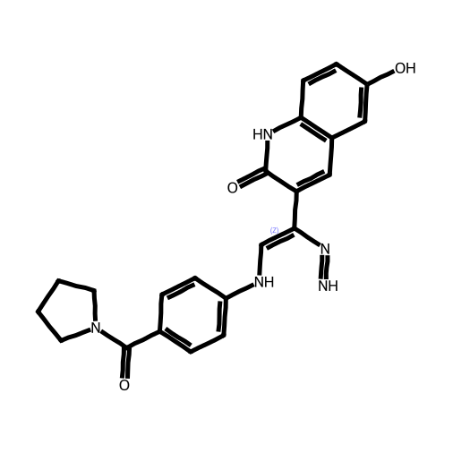 N=N/C(=C\Nc1ccc(C(=O)N2CCCC2)cc1)c1cc2cc(O)ccc2[nH]c1=O